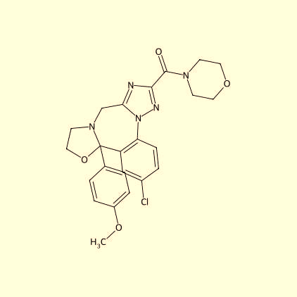 COc1ccc(C23OCCN2Cc2nc(C(=O)N4CCOCC4)nn2-c2ccc(Cl)cc23)cc1